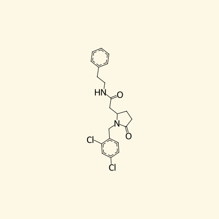 O=C(CC1CCC(=O)N1Cc1ccc(Cl)cc1Cl)NCCc1ccccc1